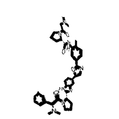 Cc1ccc(-c2ncc(-c3ccc4[nH]c([C@@H]5CCCN5C(=O)[C@@H](c5ccccc5)N(C)C)nc4c3)o2)cc1NC(=O)[C@@H]1CCCN1C(=O)CN(C)C